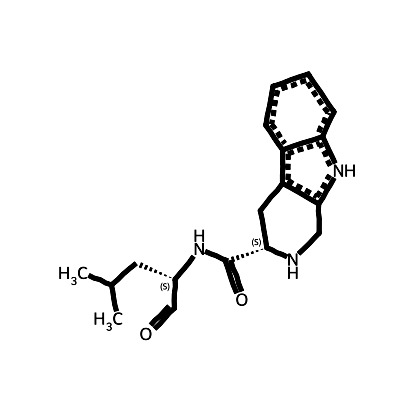 CC(C)C[C@@H](C=O)NC(=O)[C@@H]1Cc2c([nH]c3ccccc23)CN1